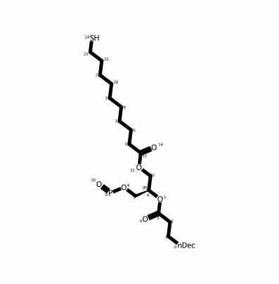 CCCCCCCCCCCCC(=O)O[C@@H](COP=O)COC(=O)CCCCCCCCCS